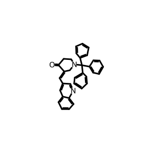 O=C1CCN(C(c2ccccc2)(c2ccccc2)c2ccccc2)CC1=Cc1cnc2ccccc2c1